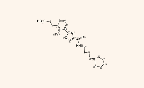 CCCc1c(CCC(=O)O)cccc1-c1nc(C(=O)NCCCCC2CCCCC2)co1